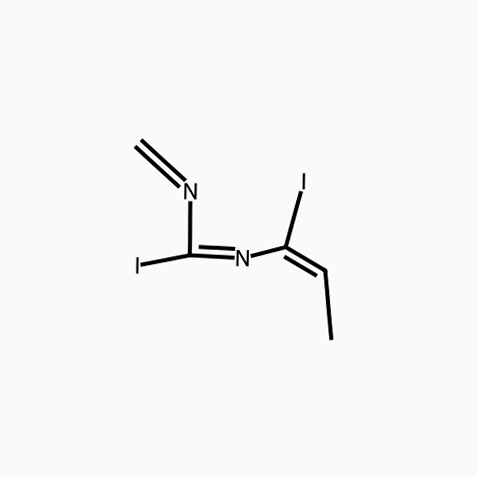 C=N/C(I)=N\C(I)=C/C